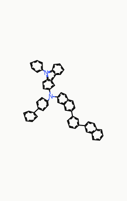 c1ccc(-c2ccc(N(c3ccc4ccc(-c5cccc(-c6ccc7ccccc7c6)c5)cc4c3)c3ccc4c(c3)c3ccccc3n4-c3ccccc3)cc2)cc1